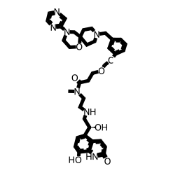 CN(CCNC[C@H](O)c1ccc(O)c2[nH]c(=O)ccc12)C(=O)CCOCCc1cccc(CN2CCC3(CC2)CN(c2cnccn2)CCO3)c1